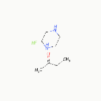 C1CNCCN1.CCC(C)=O.F